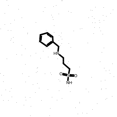 [NH]S(=O)(=O)CCCNCc1ccccc1